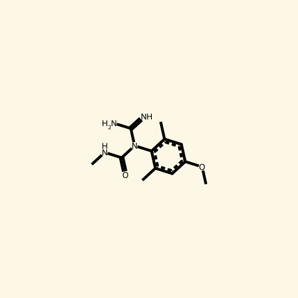 CNC(=O)N(C(=N)N)c1c(C)cc(OC)cc1C